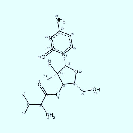 CC(C)C(N)C(=O)OC1[C@@H](CO)O[C@@H](n2ccc(N)nc2=O)[C@]1(C)F